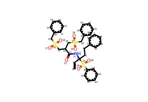 C=CC(CCc1ccccc1)(NC(=O)C(CS(=O)(=O)Cc1ccccc1)CS(=O)(=O)Cc1ccccc1)S(=O)(=O)c1ccccc1